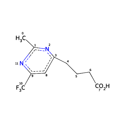 Cc1nc(CCCC(=O)O)cc(C(F)(F)F)n1